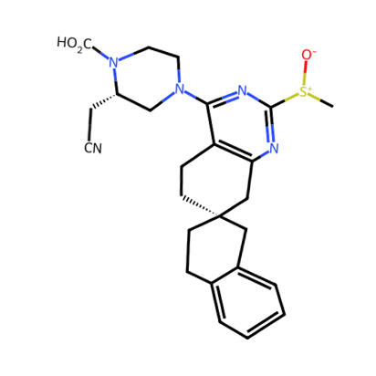 C[S+]([O-])c1nc2c(c(N3CCN(C(=O)O)[C@@H](CC#N)C3)n1)CC[C@]1(CCc3ccccc3C1)C2